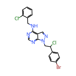 Clc1ccccc1CNc1ncnc2c1cnn2CC(Cl)c1ccc(Br)cc1